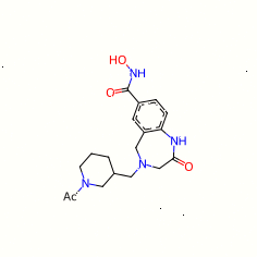 CC(=O)N1CCCC(CN2CC(=O)Nc3ccc(C(=O)NO)cc3C2)C1